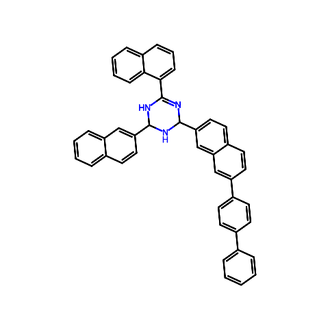 c1ccc(-c2ccc(-c3ccc4ccc(C5N=C(c6cccc7ccccc67)NC(c6ccc7ccccc7c6)N5)cc4c3)cc2)cc1